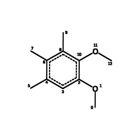 COc1cc(C)c(C)c(C)c1OC